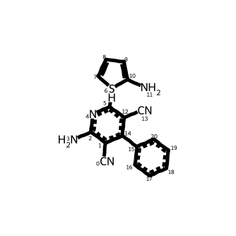 N#Cc1c(N)nc([SH]2C=CC=C2N)c(C#N)c1-c1ccccc1